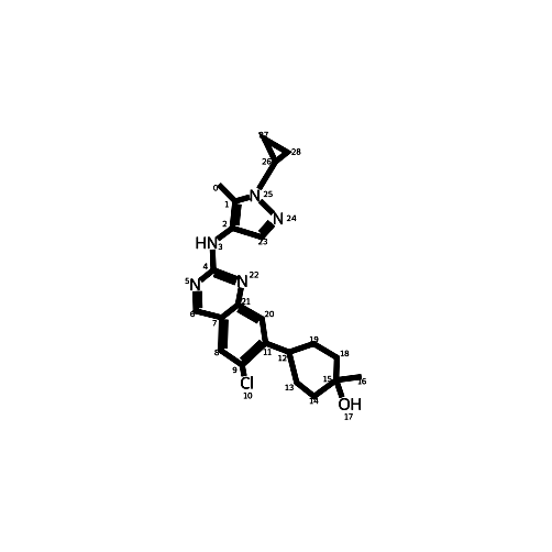 Cc1c(Nc2ncc3cc(Cl)c(C4CCC(C)(O)CC4)cc3n2)cnn1C1CC1